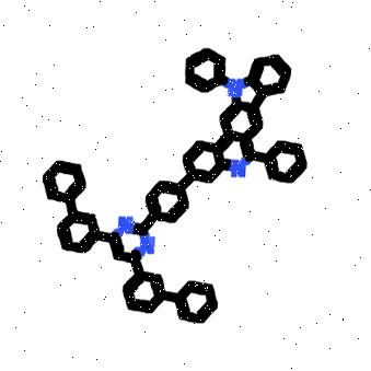 c1ccc(-c2cccc(-c3cc(-c4cccc(-c5ccccc5)c4)nc(-c4ccc(-c5ccc6c(c5)nc(-c5ccccc5)c5cc7c8ccccc8n(-c8ccccc8)c7cc56)cc4)n3)c2)cc1